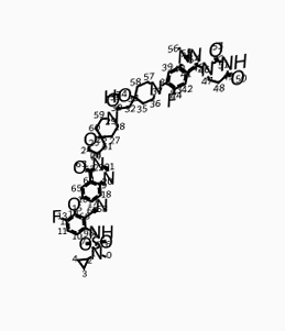 CN(C1CC1)S(=O)(=O)Nc1ccc(F)c(Oc2ccc3ncn([C@H]4COC5(CCN(C(=O)CC6(O)CCN(c7cc8c(cc7F)c(N7CCC(=O)NC7=O)nn8C)CC6)CC5)C4)c(=O)c3c2)c1C#N